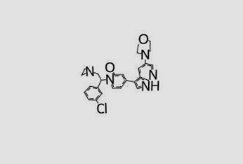 O=c1cc(-c2c[nH]c3ncc(N4CCOCC4)cc23)ccn1C(CN1CC1)c1cccc(Cl)c1